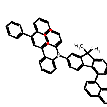 CC1(C)c2cc(N(c3ccccc3)c3ccccc3-c3cc(-c4ccccc4)c4ccccc4c3)ccc2-c2c(-c3cccc4ccccc34)cccc21